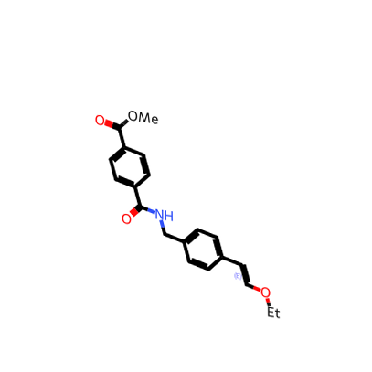 CCO/C=C/c1ccc(CNC(=O)c2ccc(C(=O)OC)cc2)cc1